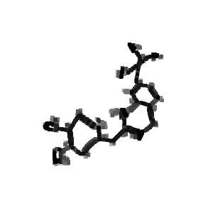 FC(F)(F)c1ccc2cnc(Cc3ccc(Cl)c(Cl)c3)nc2c1